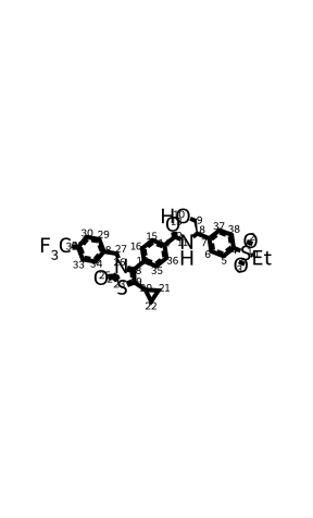 CCS(=O)(=O)c1ccc([C@H](CO)NC(=O)c2ccc(-c3c(C4CC4)sc(=O)n3Cc3ccc(C(F)(F)F)cc3)cc2)cc1